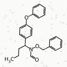 CCCC(c1ccc(Oc2ccccc2)cc1)N(C=O)OCc1ccccc1